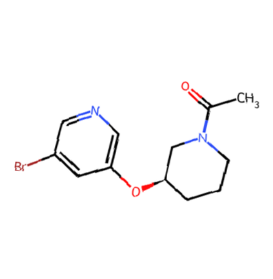 CC(=O)N1CCC[C@@H](Oc2cncc(Br)c2)C1